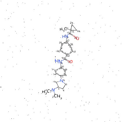 CN(C)C1CCN(c2ccc(NC(=O)c3ccc(NC(=O)C4(C)CC4)cc3)cc2)C1